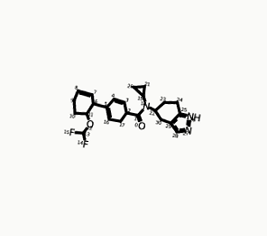 O=C(C1C=CC(C2C=CCCC2OC(F)F)=CC1)N(C1CC1)C1CCc2[nH]ncc2C1